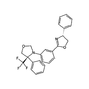 FC(F)(F)[C@@]1(c2ccccc2)COCN1c1cc[c]c(C2=N[C@H](c3ccccc3)CO2)c1